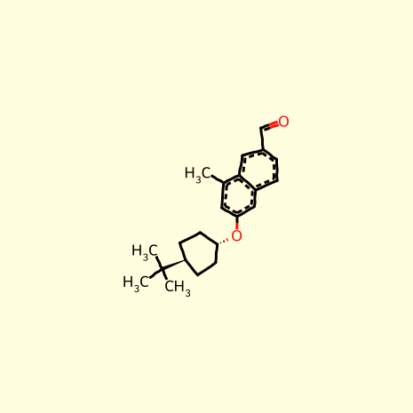 Cc1cc(O[C@H]2CC[C@H](C(C)(C)C)CC2)cc2ccc(C=O)cc12